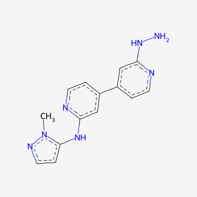 Cn1nccc1Nc1cc(-c2ccnc(NN)c2)ccn1